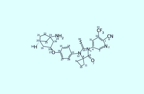 N#Cc1ncc(N2C(=O)C3(CCC3)N(c3ccc(O[C@H]4C[C@H]5CCC(N)(C5)C4)cc3)C2=S)cc1C(F)(F)F